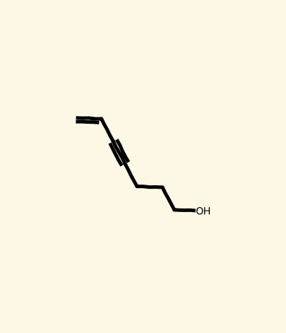 C=CC#CCCCO